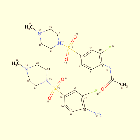 CC(=O)Nc1ccc(S(=O)(=O)N2CCN(C)CC2)cc1F.CN1CCN(S(=O)(=O)c2ccc(N)c(F)c2)CC1